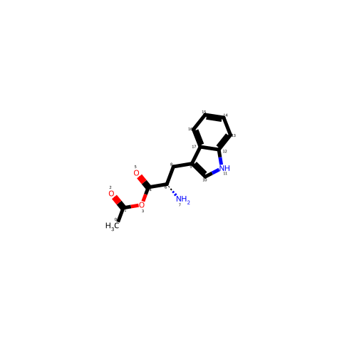 CC(=O)OC(=O)[C@@H](N)Cc1c[nH]c2ccccc12